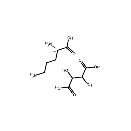 NCCC[C@H](N)C(=O)O.O=C(O)C(O)C(O)C(=O)O